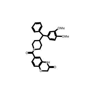 COc1ccc(C(c2ccccc2)C2CCN(C(=O)c3ccc4c(c3)NC(=O)CO4)CC2)cc1OC